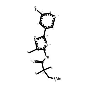 CSCC(C)(C)C(=O)Nc1sc(-c2cncc(F)c2)nc1C